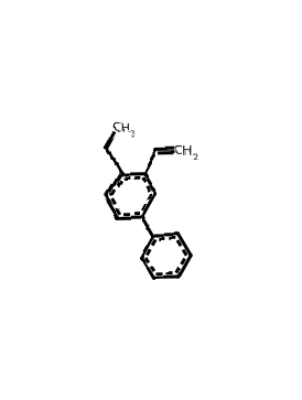 C=Cc1cc(-c2ccccc2)ccc1CC